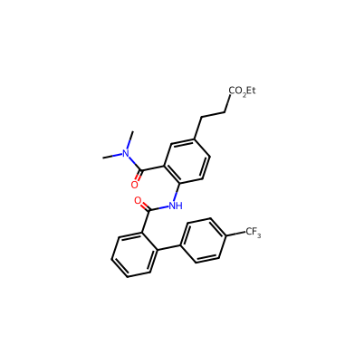 CCOC(=O)CCc1ccc(NC(=O)c2ccccc2-c2ccc(C(F)(F)F)cc2)c(C(=O)N(C)C)c1